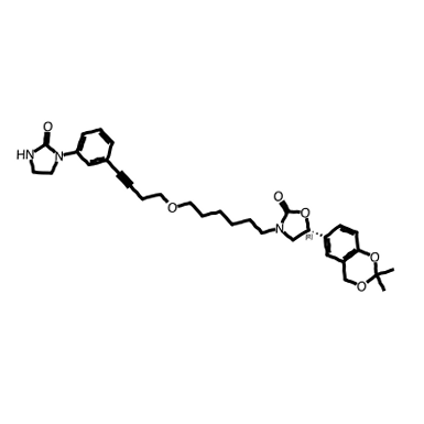 CC1(C)OCc2cc([C@@H]3CN(CCCCCCOCCC#Cc4cccc(N5CCNC5=O)c4)C(=O)O3)ccc2O1